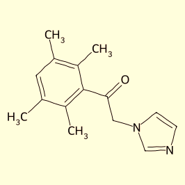 Cc1cc(C)c(C)c(C(=O)Cn2ccnc2)c1C